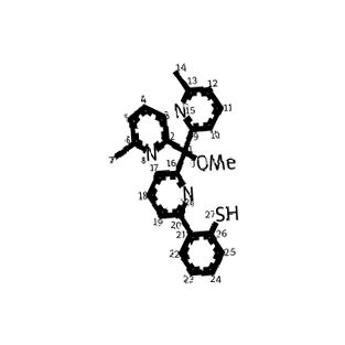 COC(c1cccc(C)n1)(c1cccc(C)n1)c1cccc(-c2ccccc2S)n1